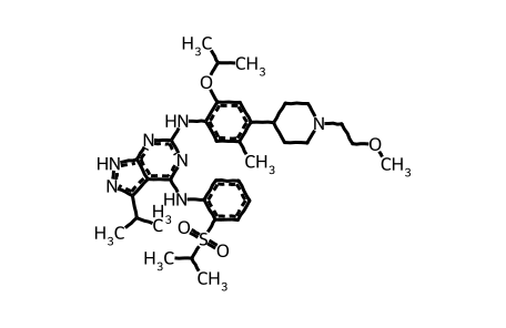 COCCN1CCC(c2cc(OC(C)C)c(Nc3nc(Nc4ccccc4S(=O)(=O)C(C)C)c4c(C(C)C)n[nH]c4n3)cc2C)CC1